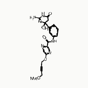 COCC#CCOc1cnc(C(=O)Nc2cccc(C3(C)CC(=O)NC(N)=N3)c2)cn1